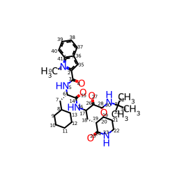 Cn1c(C(=O)N[C@@H](CC2CCCCC2)C(=O)NC(C[C@@H]2CCCNC2=O)C(=O)C(=O)NC(C)(C)C)cc2ccccc21